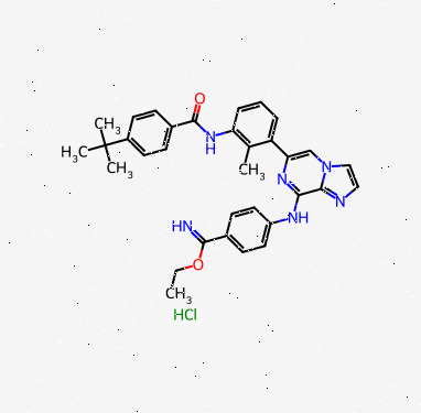 CCOC(=N)c1ccc(Nc2nc(-c3cccc(NC(=O)c4ccc(C(C)(C)C)cc4)c3C)cn3ccnc23)cc1.Cl